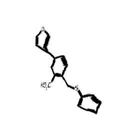 O=C(O)c1cc(-c2ccoc2)ccc1CSc1ccccc1